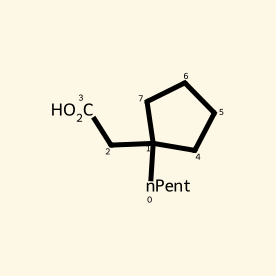 CCCCCC1(CC(=O)O)CCCC1